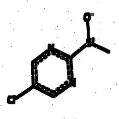 C[S+]([O-])c1ncc(Cl)cn1